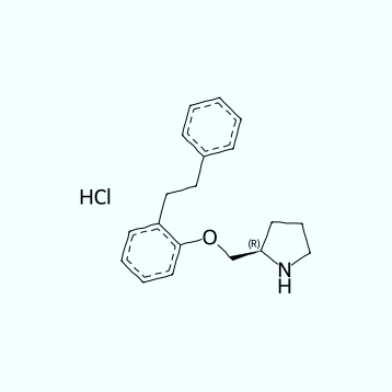 Cl.c1ccc(CCc2ccccc2OC[C@H]2CCCN2)cc1